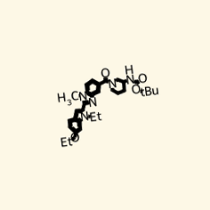 CCOc1ccc2cc(-c3nc4cc(C(=O)N5CCCC(NC(=O)OC(C)(C)C)C5)ccc4n3C)n(CC)c2c1